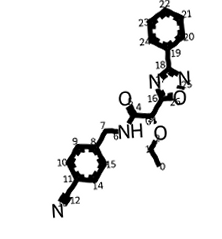 CCO[C@H](C(=O)NCc1ccc(C#N)cc1)c1nc(-c2ccccc2)no1